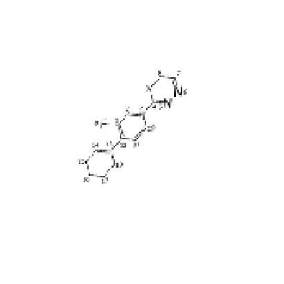 Fc1cc(C2=NN=CCC2)ccc1C1=CCCCC1